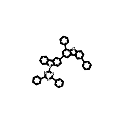 c1ccc(-c2ccc3oc4c(-c5ccccc5)cc(-c5ccc6c(c5)c5ccccc5n6-c5nc(-c6ccccc6)nc(-c6ccccc6)n5)cc4c3c2)cc1